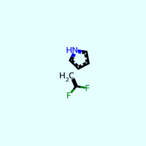 C=C(F)F.c1cc[nH]c1